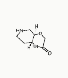 O=C1CO[C@@H]2CNCC[C@H]2N1